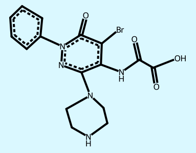 O=C(O)C(=O)Nc1c(N2CCNCC2)nn(-c2ccccc2)c(=O)c1Br